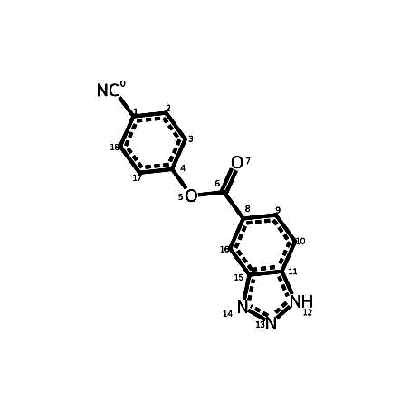 N#Cc1ccc(OC(=O)c2ccc3[nH]nnc3c2)cc1